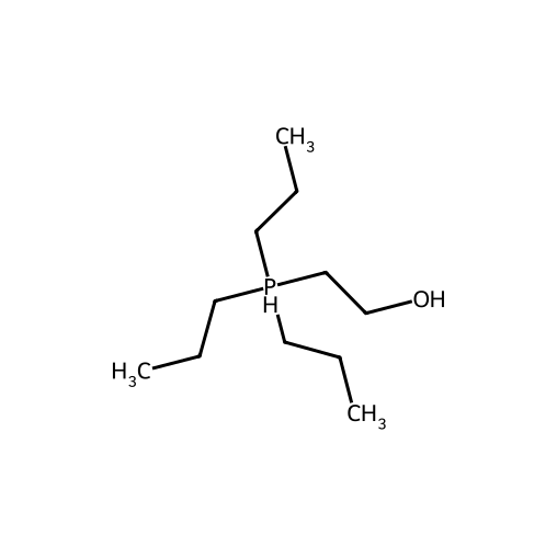 CCC[PH](CCC)(CCC)CCO